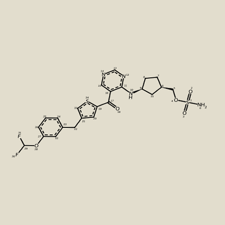 NS(=O)(=O)OC[C@@H]1CC[C@H](Nc2ncncc2C(=O)c2cc(Cc3cccc(OC(F)F)c3)cs2)C1